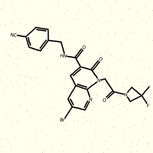 CC1(F)CN(C(=O)Cn2c(=O)c(C(=O)NCc3ccc(C#N)cc3)cc3cc(Br)cnc32)C1